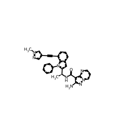 C[C@H](NC(=O)c1c(N)nn2cccnc12)c1cc2cccc(C#Cc3cnn(C)c3)c2n1-c1ccccc1